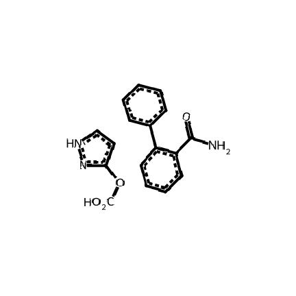 NC(=O)c1ccccc1-c1ccccc1.O=C(O)Oc1cc[nH]n1